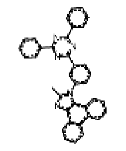 Cc1nc2c3ccccc3c3ccccc3c2n1-c1cccc(-c2nc(-c3ccccc3)nc(-c3ccccc3)n2)c1